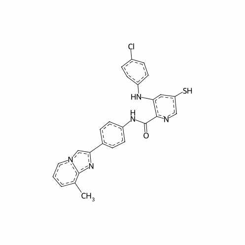 Cc1cccn2cc(-c3ccc(NC(=O)c4ncc(S)cc4Nc4ccc(Cl)cc4)cc3)nc12